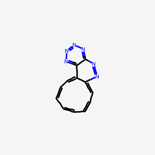 c1ccccc2c(ccc1)nnc1nnnnc12